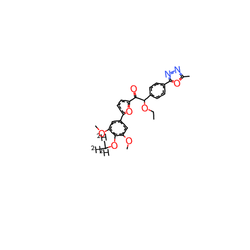 [2H]C([2H])([2H])Oc1c(OC)cc(-c2ccc(C(=O)C(OCC)c3ccc(-c4nnc(C)o4)cc3)o2)cc1OC